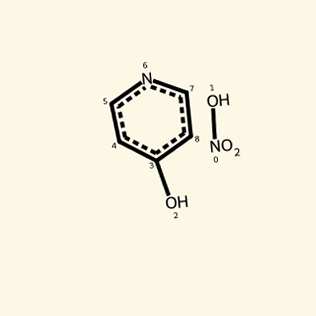 O=[N+]([O-])O.Oc1ccncc1